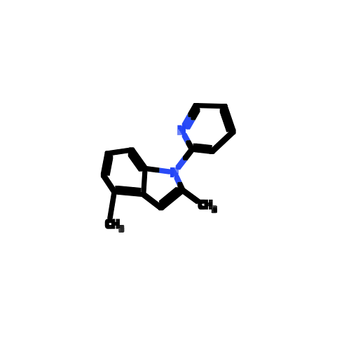 Cc1cccc2c1cc(C)n2-c1ccccn1